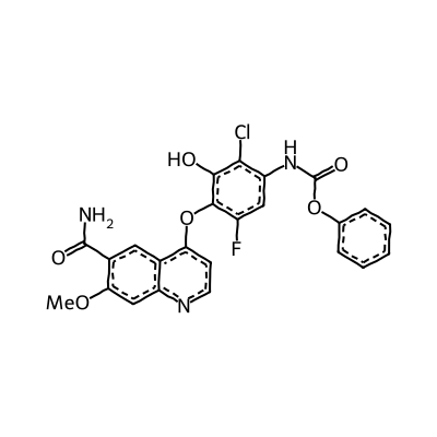 COc1cc2nccc(Oc3c(F)cc(NC(=O)Oc4ccccc4)c(Cl)c3O)c2cc1C(N)=O